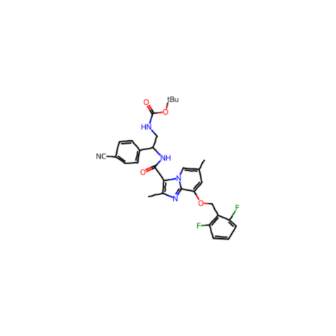 Cc1cc(OCc2c(F)cccc2F)c2nc(C)c(C(=O)NC(CNC(=O)OC(C)(C)C)c3ccc(C#N)cc3)n2c1